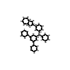 c1ccc(-c2cc(-c3ccccc3)cc(N(c3ccccc3)c3cccc(-c4cc5ccccc5o4)c3)c2)cc1